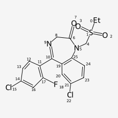 CCS(=O)(=O)CN1C(=O)CN=C(c2ccc(Cl)cc2F)c2cc(Cl)ccc21